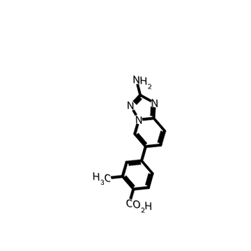 Cc1cc(-c2ccc3nc(N)nn3c2)ccc1C(=O)O